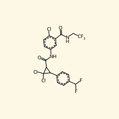 O=C(NCC(F)(F)F)c1cc(NC(=O)C2C(c3ccc(C(F)F)cc3)C2(Cl)Cl)ccc1Cl